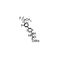 COCC(=O)NNc1cnc(-c2cnc(O[C@@H](C)C(F)(F)F)c(F)c2)cn1